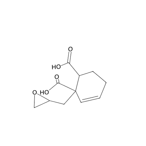 O=C(O)C1CCC=CC1(CC1CO1)C(=O)O